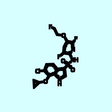 O=S(=O)(Nc1nc(F)c(OCCF)cc1F)c1c[nH]c2c(OC3CC3)c(Cl)ccc12